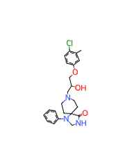 Cc1cc(OCC(O)CN2CCC3(CC2)C(=O)NCN3c2ccccc2)ccc1Cl